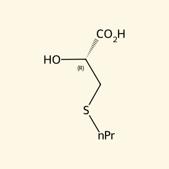 CCCSC[C@H](O)C(=O)O